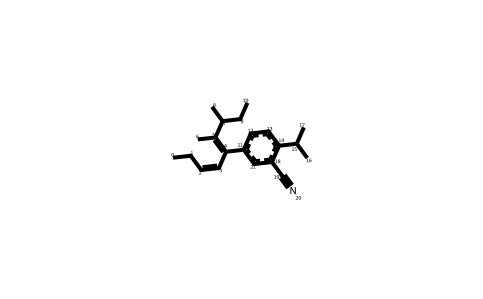 CC/C=C\C(=C(/C)C(C)CC)c1ccc(C(C)C)c(C#N)c1